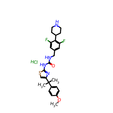 COc1ccc(C(C)(C)c2csc(NC(=O)NCc3cc(F)c(C4CCNCC4)c(F)c3)n2)cc1.Cl